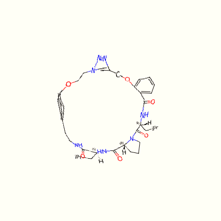 CC(C)C[C@@H]1NC(=O)[C@H]2CCCN2C(=O)[C@@H](CC(C)C)NC(=O)c2ccccc2OCc2cn(nn2)CCOc2ccc(cc2)CCNC1=O